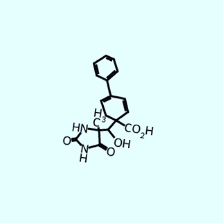 CC1(C(O)C2(C(=O)O)C=CC(c3ccccc3)=CC2)NC(=O)NC1=O